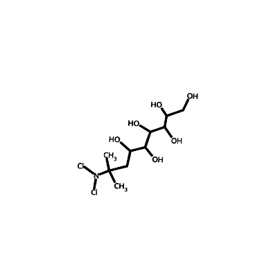 CC(C)(CC(O)C(O)C(O)C(O)C(O)CO)N(Cl)Cl